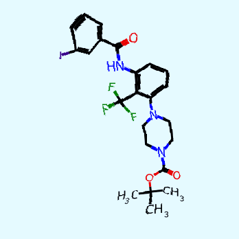 CC(C)(C)OC(=O)N1CCN(c2cccc(NC(=O)c3cccc(I)c3)c2C(F)(F)F)CC1